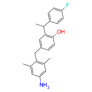 Cc1cc(N)cc(C)c1Cc1ccc(O)c(C(C)c2ccc(F)cc2)c1